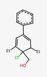 CCC1=CC(c2ccccc2)=CC(CC)C1(Cl)CO